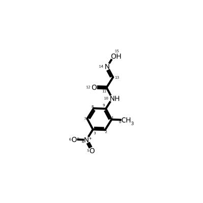 Cc1cc([N+](=O)[O-])ccc1NC(=O)/C=N/O